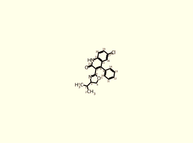 CC(C)C1COC(c2c(-c3ccccc3)c3cc(Cl)ccc3[nH]c2=O)=N1